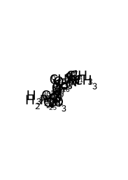 CCS(=O)(=O)c1cc(/C(=N/N(C)C)SCl)ccc1-c1cn2c(=O)n(C3CC3)c(C(C)(C)P)cc2n1